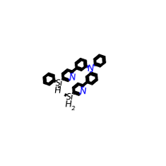 C[SiH2]c1ccc(-c2cccc(N(c3ccccc3)c3cccc(-c4ccc([SiH](C)c5ccccc5)cn4)c3)c2)nc1